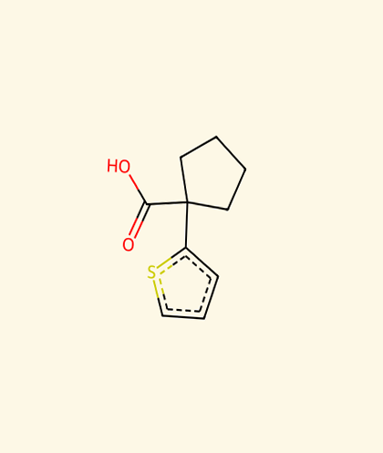 O=C(O)C1(c2cccs2)CCCC1